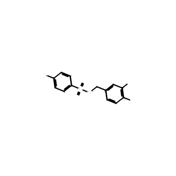 Nc1ccc(S(=O)(=O)NCc2ccc(Cl)c(Cl)c2)cc1